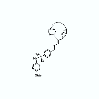 CCC(C)(Nc1ccc(OC)cc1)c1ccc(C=CC=C2c3ccc(cc3)CCCCc3ccc2cc3)cc1